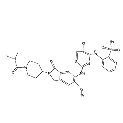 CC(C)Oc1cc2c(cc1Nc1ncc(Cl)c(Nc3ccccc3S(=O)(=O)C(C)C)n1)C(=O)N(C1CCN(C(=O)N(C)C)CC1)C2